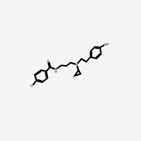 O=C(NCCCN(CCc1ccc(O)cc1)C1CC1)c1ccc(Cl)cc1